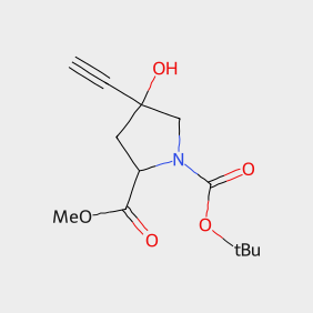 C#CC1(O)CC(C(=O)OC)N(C(=O)OC(C)(C)C)C1